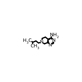 CC(C)CCN1CCc2c(N)ncnc2C1